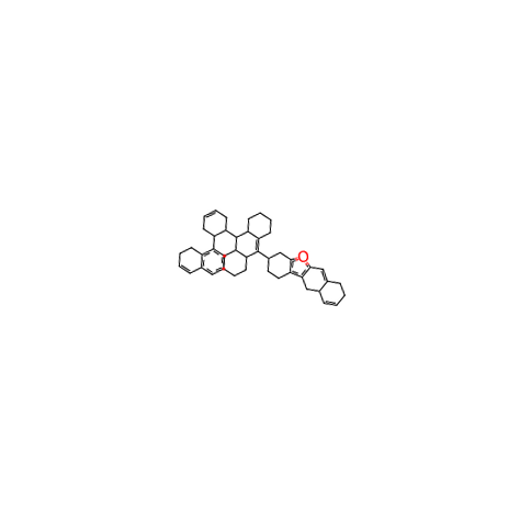 C1=CC2Cc3c(oc4c3CCC(C3=C5CCCCC5C(C5CC=CCC5c5cccc6c5CCC=C6)C5CCCCC35)C4)C=C2CC1